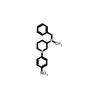 CN(Cc1ccccc1)C1CCCN(c2ccc([N+](=O)[O-])cc2)C1